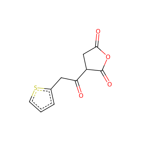 O=C1CC(C(=O)Cc2cccs2)C(=O)O1